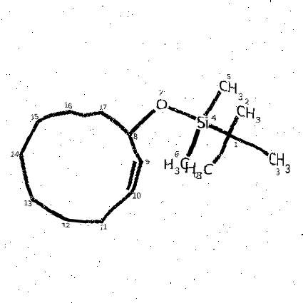 CC(C)(C)[Si](C)(C)OC1C=CCCCCCCC1